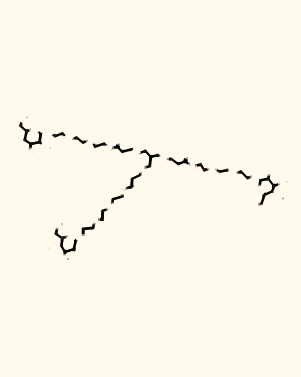 O=C(CCOCC(COCCC(=O)NCCOCCOCCO[C@H]1OC(CO)[C@@H](O)C(O)C1O)COCCC(=O)NCCOCCOCCO[C@H]1OC(CO)[C@@H](O)C(O)C1O)NCCOCCOCCO[C@H]1OC(CO)[C@@H](O)C(O)C1O